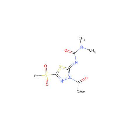 CCS(=O)(=O)c1nn(C(=O)OC)c(=NC(=O)N(C)C)s1